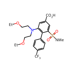 CCOCCN(CCOCC)c1cc(C(=O)O)cc(S(=O)(=O)NC)c1-c1ccc(C(F)(F)F)cc1